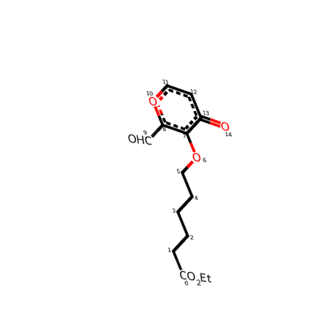 CCOC(=O)CCCCCOc1c(C=O)occc1=O